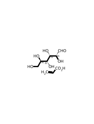 C=CC(=O)O.O=C[C@H](O)[C@@H](O)[C@H](O)[C@H](O)CO